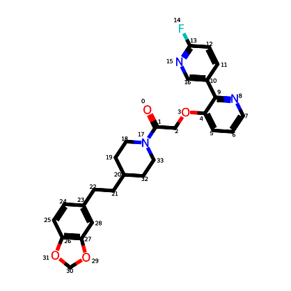 O=C(COc1cccnc1-c1ccc(F)nc1)N1CCC(CCc2ccc3c(c2)OCO3)CC1